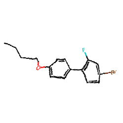 CCCCOc1ccc(-c2ccc(Br)cc2F)cc1